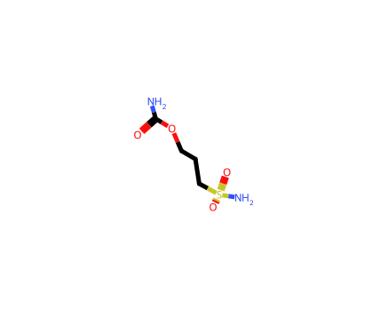 NC(=O)OCCCS(N)(=O)=O